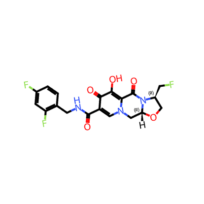 O=C(NCc1ccc(F)cc1F)c1cn2c(c(O)c1=O)C(=O)N1[C@@H](CF)CO[C@@H]1C2